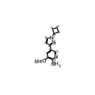 COc1cc(-c2ccn(C3CCC3)n2)cnc1N